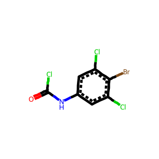 O=C(Cl)Nc1cc(Cl)c(Br)c(Cl)c1